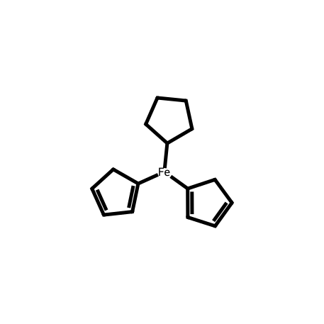 C1=CC[C]([Fe]([C]2=CC=CC2)[CH]2CCCC2)=C1